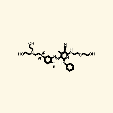 COc1ccc(S(=O)(=O)CCN(CCO)CCO)cc1/N=N/c1c(Nc2ccccc2)nc(NCCOCCO)c(C#N)c1C